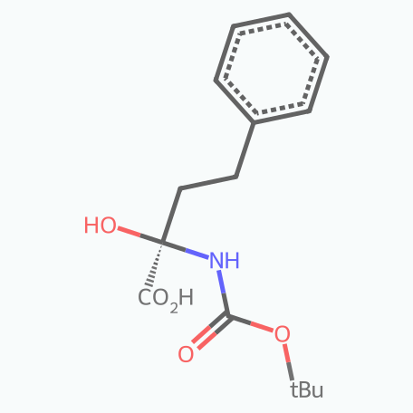 CC(C)(C)OC(=O)N[C@@](O)(CCc1ccccc1)C(=O)O